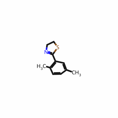 Cc1ccc(C)c(C2=NCCS2)c1